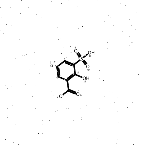 O=C([O-])c1cccc(S(=O)(=O)O)c1O.[Li+]